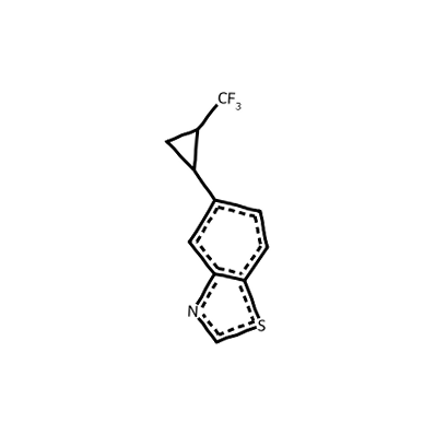 FC(F)(F)C1CC1c1ccc2scnc2c1